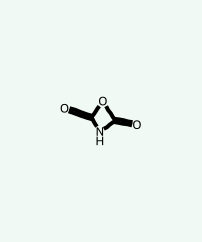 O=C1NC(=O)O1